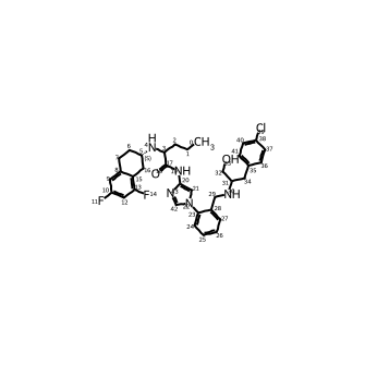 CCCC(N[C@H]1CCc2cc(F)cc(F)c2C1)C(=O)Nc1cn(-c2ccccc2CNC(CO)Cc2ccc(Cl)cc2)cn1